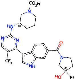 CC[C@@]1(O)CCN(C(=O)c2ccc3c(-c4nc(N[C@H]5CCCN(C(=O)O)C5)ncc4C(F)(F)F)c[nH]c3c2)C1